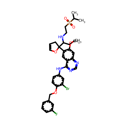 CCC(NCCS(=O)(=O)C(C)C)C1(c2cc3c(Nc4ccc(OCc5cccc(F)c5)c(Br)c4)ncnc3cc2OC)CC=CO1